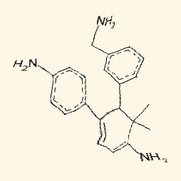 CC1(C)C(N)=CC=C(c2ccc(N)cc2)C1c1cccc(CN)c1